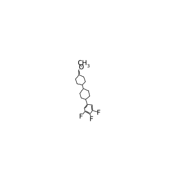 COC=C1CCC(C2CCC(c3cc(F)c(F)c(F)c3)CC2)CC1